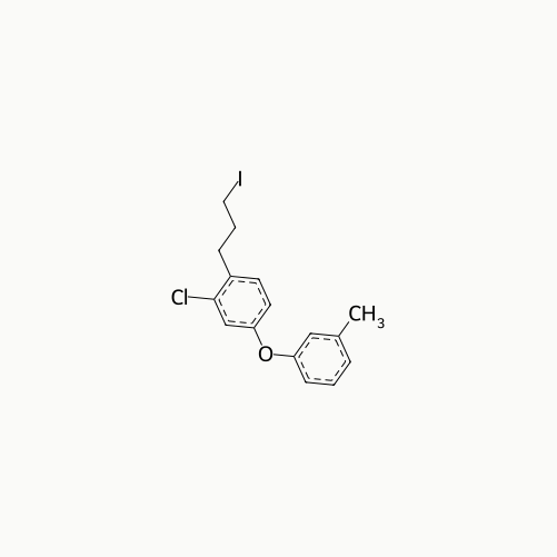 Cc1cccc(Oc2ccc(CCCI)c(Cl)c2)c1